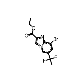 CCOC(=O)c1cn2cc(C(C)(F)F)cc(Br)c2n1